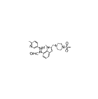 Cc1ccc(NN(C=O)c2cccc3cc(CN4CCN(S(C)(=O)=O)CC4)n(C)c23)cn1